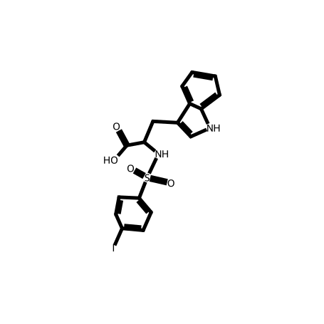 O=C(O)C(Cc1c[nH]c2ccccc12)NS(=O)(=O)c1ccc(I)cc1